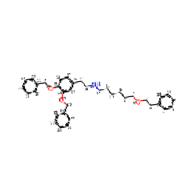 c1ccc(CCOCCCCCCNCCc2ccc(OCc3ccccc3)c(OCc3ccccc3)c2)cc1